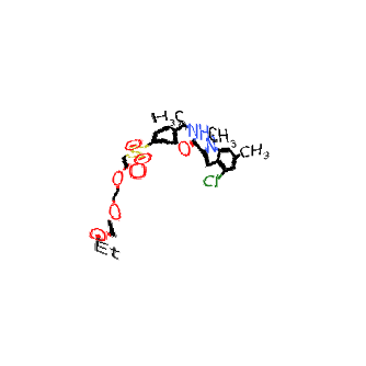 CCOCCOCCOC(=O)CS(=O)(=O)c1ccc([C@@H](C)NC(=O)c2cc3c(Cl)cc(C)cc3n2C)cc1